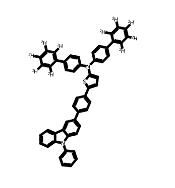 [2H]c1c([2H])c([2H])c(-c2ccc(N(c3ccc(-c4c([2H])c([2H])c([2H])c([2H])c4[2H])cc3)c3ccc(-c4ccc(-c5ccc6c(c5)c5ccccc5n6-c5ccccc5)cc4)s3)cc2)c([2H])c1[2H]